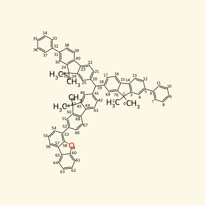 CC1(C)c2cc(-c3ccccc3)ccc2-c2ccc(C(c3ccc4c(c3)C(C)(C)c3cc(-c5ccccc5)ccc3-4)c3ccc4c(c3)C(C)(C)c3cc(-c5cccc6c5oc5ccccc56)ccc3-4)cc21